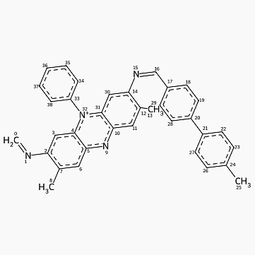 C=Nc1cc2c(cc1C)nc1cc(C)c(/N=C\c3ccc(-c4ccc(C)cc4)cc3)cc1[n+]2-c1ccccc1